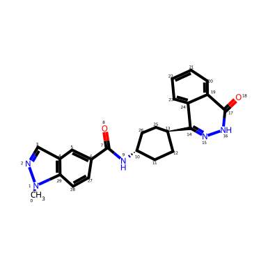 Cn1ncc2cc(C(=O)N[C@H]3CC[C@H](c4n[nH]c(=O)c5ccccc54)CC3)ccc21